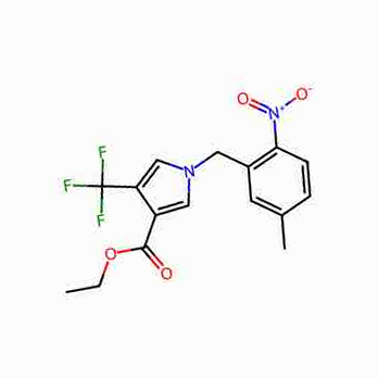 CCOC(=O)c1cn(Cc2cc(C)ccc2[N+](=O)[O-])cc1C(F)(F)F